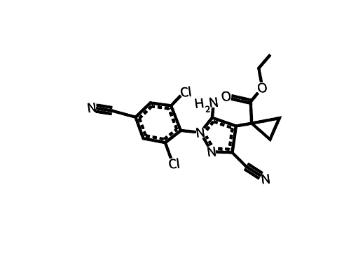 CCOC(=O)C1(c2c(C#N)nn(-c3c(Cl)cc(C#N)cc3Cl)c2N)CC1